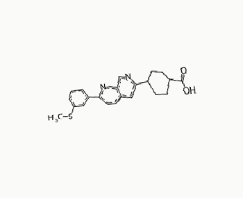 CSc1cccc(-c2ccc3cc(C4CCC(C(=O)O)CC4)ncc3n2)c1